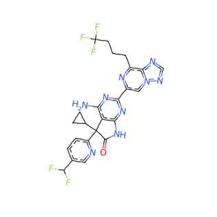 Nc1nc(-c2cn3ncnc3c(CCCC(F)(F)F)n2)nc2c1C(c1ccc(C(F)F)cn1)(C1CC1)C(=O)N2